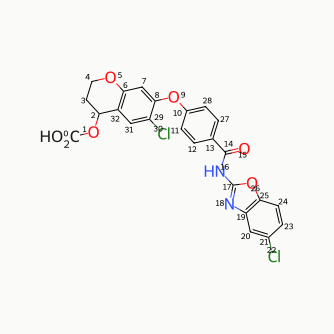 O=C(O)OC1CCOc2cc(Oc3ccc(C(=O)Nc4nc5cc(Cl)ccc5o4)cc3)c(Cl)cc21